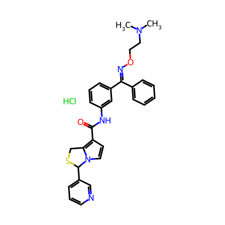 CN(C)CCO/N=C(\c1ccccc1)c1cccc(NC(=O)c2ccn3c2CSC3c2cccnc2)c1.Cl